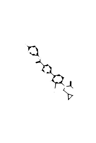 CC(=O)N(CC1CC1)c1ccc(-c2ccc(C(=O)Nc3ccc(N)nc3)cn2)cc1F